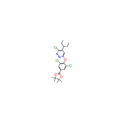 CCC(CC)c1cc(Oc2c(Cl)cc(B3OC(C)(C)C(C)(C)O3)cc2Cl)nnc1Cl